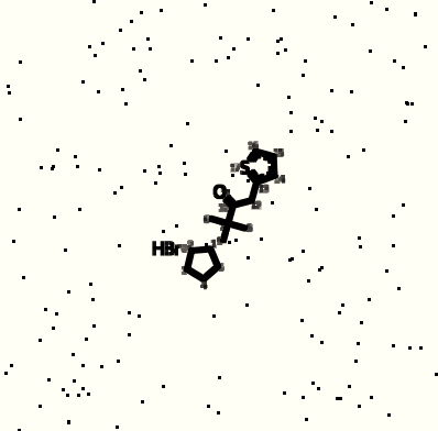 Br.C1CCCC1.CC(C)(C)C(=O)Cc1cccs1